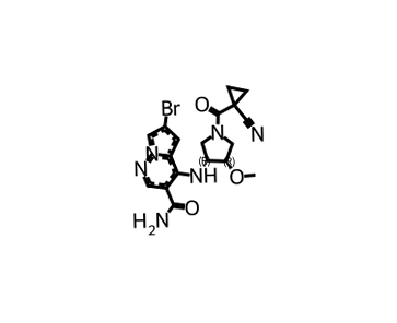 CO[C@@H]1CN(C(=O)C2(C#N)CC2)C[C@H]1Nc1c(C(N)=O)cnn2cc(Br)cc12